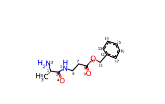 C[C@H](N)C(=O)NCCC(=O)OCc1ccccc1